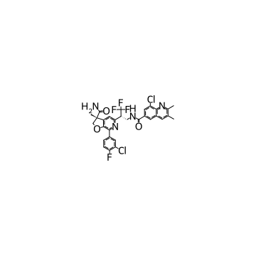 Cc1cc2cc(C(=O)NC[C@H](c3cc4c(c(-c5ccc(F)c(Cl)c5)n3)OC[C@]4(C)C(N)=O)C(F)(F)F)cc(Cl)c2nc1C